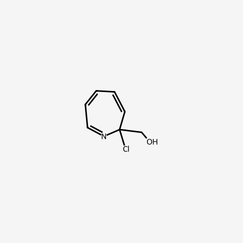 OCC1(Cl)C=CC=CC=N1